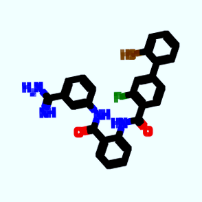 N=C(N)c1cccc(NC(=O)c2ccccc2NC(=O)c2ccc(-c3ccccc3S)cc2F)c1